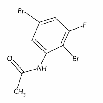 CC(=O)Nc1cc(Br)cc(F)c1Br